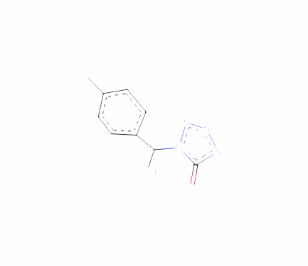 CC(c1ccc(Cl)cc1)n1nn[nH]c1=O